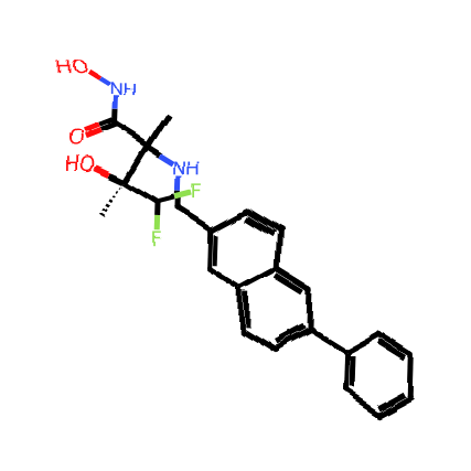 CC(NCc1ccc2cc(-c3ccccc3)ccc2c1)(C(=O)NO)[C@](C)(O)C(F)F